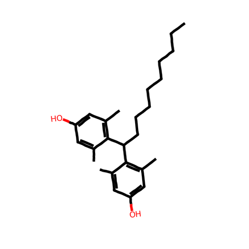 CCCCCCCCCC(c1c(C)cc(O)cc1C)c1c(C)cc(O)cc1C